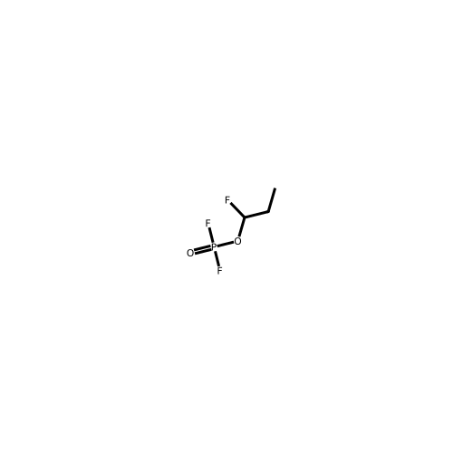 CCC(F)OP(=O)(F)F